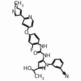 CC(O)c1cc(NC(=O)Nc2ccc(Oc3ccnc(-c4cnn(C)c4)c3)cc2F)n(-c2cccc(C#N)c2)n1